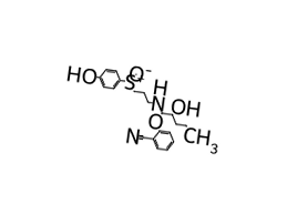 CCCC(O)C(NCCC[S+]([O-])c1ccc(O)cc1)Oc1ccccc1C#N